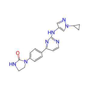 O=C1NCCN1c1ccc(-c2ccnc(Nc3cnn(C4CC4)c3)n2)cc1